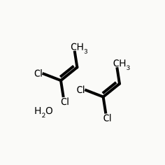 CC=C(Cl)Cl.CC=C(Cl)Cl.O